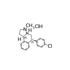 CN1CC[C@@H]2c3ccccc3[C@H](c3ccc(Cl)cc3)C[C@@H]21.Cl